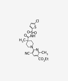 CCOC(=O)c1cc(C#N)c(N2CCC(C)(C(=O)NS(=O)(=O)c3ccc(Cl)s3)CC2)nc1C